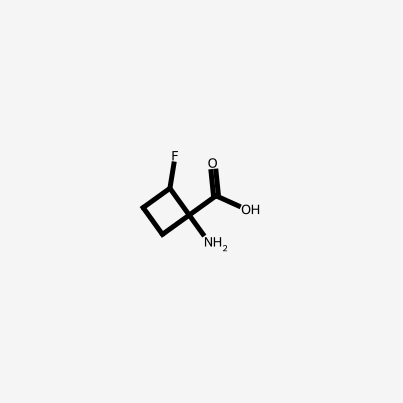 NC1(C(=O)O)CCC1F